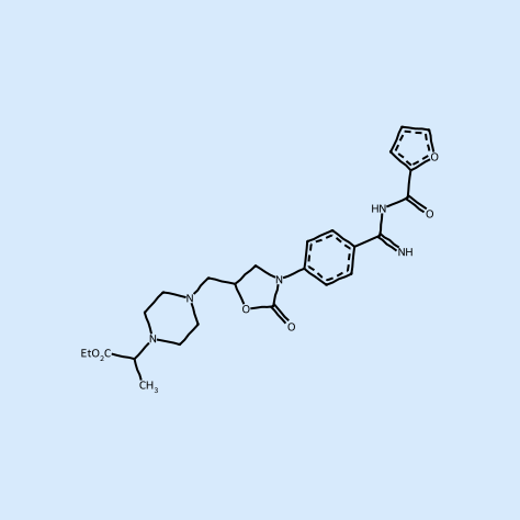 CCOC(=O)C(C)N1CCN(CC2CN(c3ccc(C(=N)NC(=O)c4ccco4)cc3)C(=O)O2)CC1